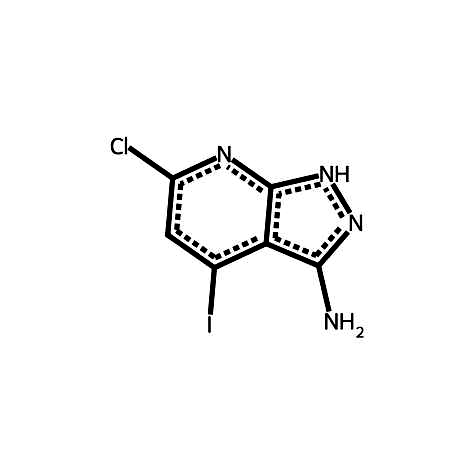 Nc1n[nH]c2nc(Cl)cc(I)c12